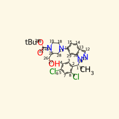 C[C@H](c1ccc(Cl)cc1Cl)n1ncc2ccc(N3CCN(C(=O)OC(C)(C)C)C(CO)C3)cc21